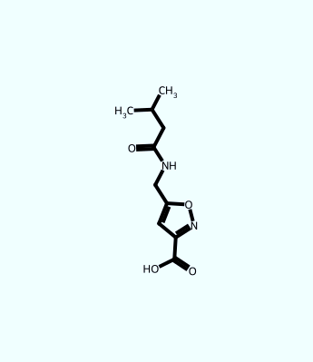 CC(C)CC(=O)NCc1cc(C(=O)O)no1